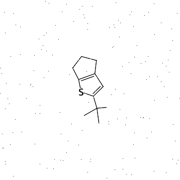 CC(C)(C)c1cc2c(s1)CCC2